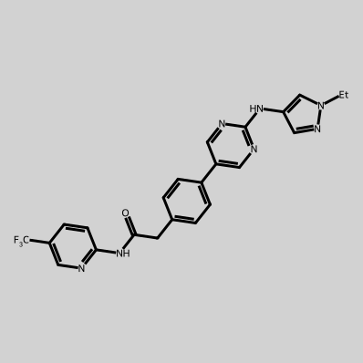 CCn1cc(Nc2ncc(-c3ccc(CC(=O)Nc4ccc(C(F)(F)F)cn4)cc3)cn2)cn1